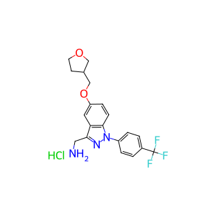 Cl.NCc1nn(-c2ccc(C(F)(F)F)cc2)c2ccc(OCC3CCOC3)cc12